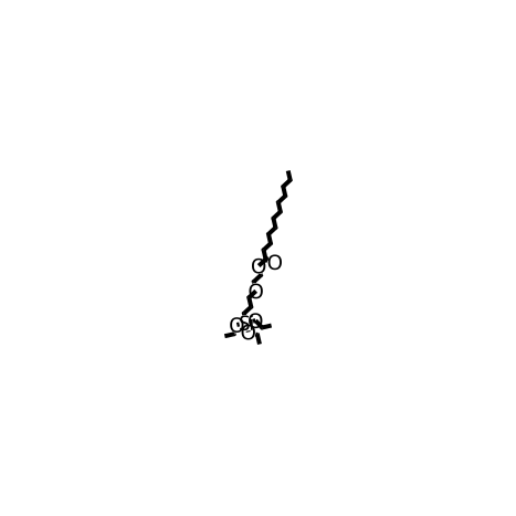 CCCCCCCCCCCC(=O)OCCOCCC[Si](OCC)(OCC)OCC